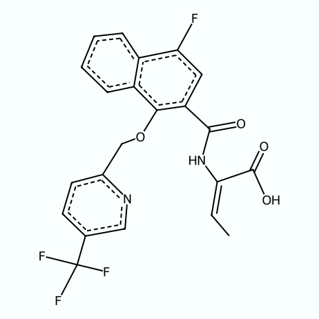 C/C=C(/NC(=O)c1cc(F)c2ccccc2c1OCc1ccc(C(F)(F)F)cn1)C(=O)O